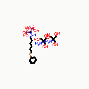 NC(CO)(CO)CO.NC(CO)(CO)CO.O=P(O)(O)C(NCCCCCCSc1ccccc1)P(=O)(O)O